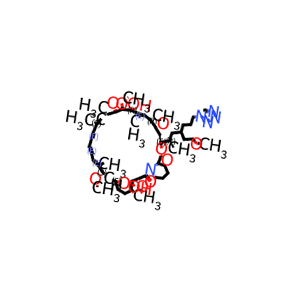 COCCC(CCCn1cnnn1)C[C@@H](C)[C@@H]1CC(=O)[C@H](C)/C=C(\C)[C@@H](O)C(OC)C(=O)C(C)C[C@H](C)/C=C/C=C/C=C(\C)[C@@H](OC)C[C@@H]2CCC(C)C(O)(O2)C(=O)C(=O)N2CCCCC2C(=O)O1